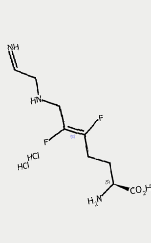 Cl.Cl.N=CCNC/C(F)=C(\F)CC[C@H](N)C(=O)O